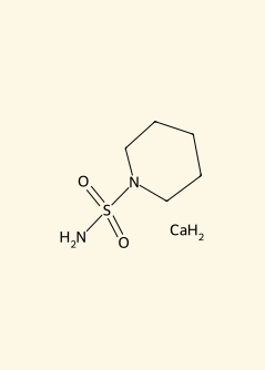 NS(=O)(=O)N1CCCCC1.[CaH2]